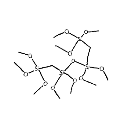 CO[Si](C[Si](OC)(OC)O[Si](C[Si](OC)(OC)OC)(OC)OC)(OC)OC